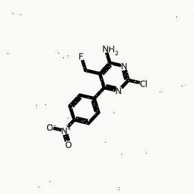 Nc1nc(Cl)nc(-c2ccc([N+](=O)[O-])cc2)c1CF